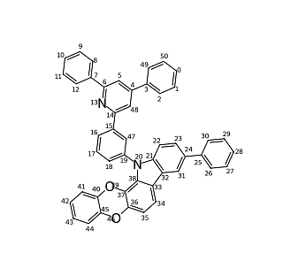 c1ccc(-c2cc(-c3ccccc3)nc(-c3cccc(-n4c5ccc(-c6ccccc6)cc5c5ccc6c(c54)Oc4ccccc4O6)c3)c2)cc1